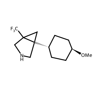 CO[C@H]1CC[C@H](C23CNCC2(C(F)(F)F)C3)CC1